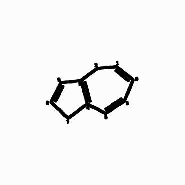 C1=CCC2=C(C=C1)CC=C2